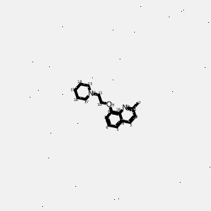 Cc1ccc2cccc(OCCN3CCCCC3)c2n1